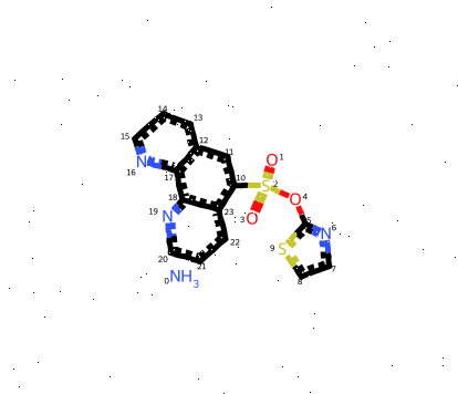 N.O=S(=O)(Oc1nccs1)c1cc2cccnc2c2ncccc12